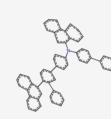 c1ccc(-c2ccc(N(c3ccc(-c4ccc(-c5cc6ccccc6c6ccccc56)c(-c5ccccc5)c4)cc3)c3cc4ccccc4c4ccccc34)cc2)cc1